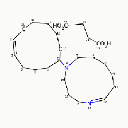 C1=CCCCC(N2CCCCCC=NCCC2)CCCCC1.O=C(O)CCC(=O)O